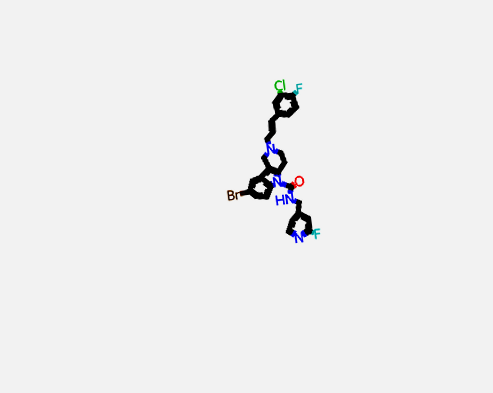 O=C(NCc1ccnc(F)c1)n1c2c(c3cc(Br)ccc31)CN(CC=Cc1ccc(F)c(Cl)c1)CC2